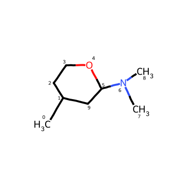 CC1CCOC(N(C)C)C1